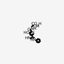 N=C/C(=C\Nc1ccccc1)c1cnc(C(=O)NCC(O)C(=O)O)c(O)c1